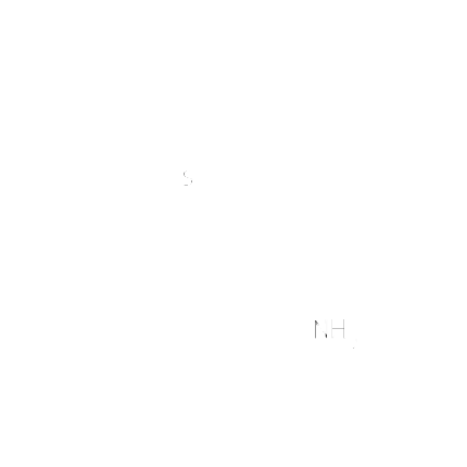 C=CSCC=CN